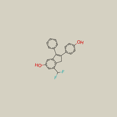 Oc1ccc(C2=C(c3ccccc3)c3cc(O)cc(C(F)F)c3C2)cc1